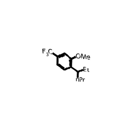 CCCC(CC)c1ccc(C(F)(F)F)cc1OC